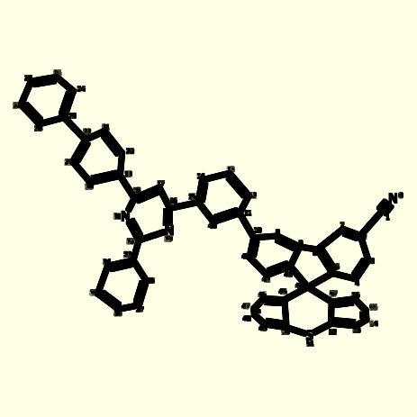 N#Cc1ccc2c(c1)-c1cc(-c3cccc(-c4cc(-c5ccc(-c6ccccc6)cc5)nc(-c5ccccc5)n4)c3)ccc1C21c2ccccc2Sc2ccccc21